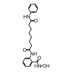 O=C(CCCCCCC(=O)Nc1ccccc1C(=O)NO)Nc1ccccc1